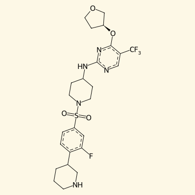 O=S(=O)(c1ccc(C2CCCNC2)c(F)c1)N1CCC(Nc2ncc(C(F)(F)F)c(O[C@H]3CCOC3)n2)CC1